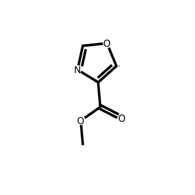 COC(=O)c1[c]ocn1